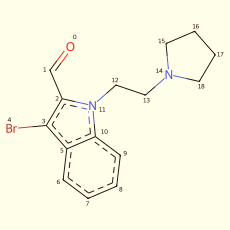 O=Cc1c(Br)c2ccccc2n1CCN1CCCC1